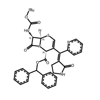 CC(C)(C)OC(=O)N[C@@H]1C(=O)N2[C@@H](C(=O)OC(c3ccccc3)c3ccccc3)C(C(=C3CCNC3=O)c3ccccn3)=CS[C@H]12